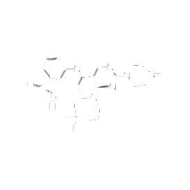 Cc1nc(N2CCN(C)CC2)nc(N2CCCC(F)(F)CC2)c1C(=O)Nc1cccc(S(C)(=O)=NC(=O)O)c1